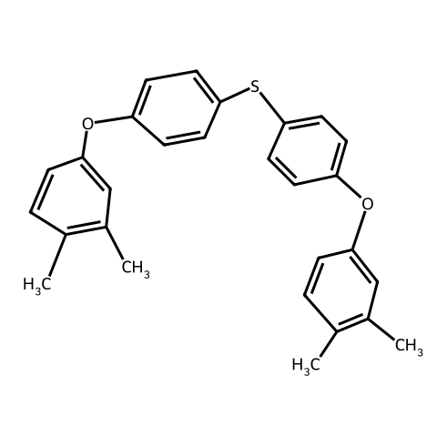 Cc1ccc(Oc2ccc(Sc3ccc(Oc4ccc(C)c(C)c4)cc3)cc2)cc1C